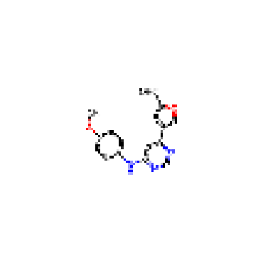 O=Cc1cc(-c2cc(Nc3ccc(OC(F)(F)F)cc3)ncn2)co1